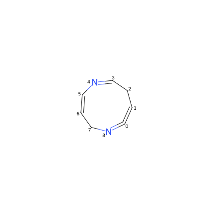 C1=CC/C=N\C=C/CN=1